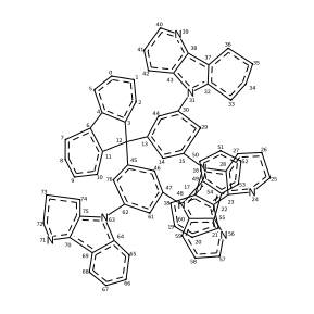 c1ccc2c(c1)-c1ccccc1C2(c1cc(-n2c3ccccc3c3ncccc32)cc(-n2c3ccccc3c3ncccc32)c1)c1cc(-n2c3ccccc3c3ncccc32)cc(-n2c3ccccc3c3ncccc32)c1